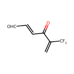 C=C(C(=O)C=CC=O)C(F)(F)F